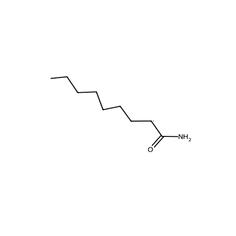 CCCCCCC[CH]C(N)=O